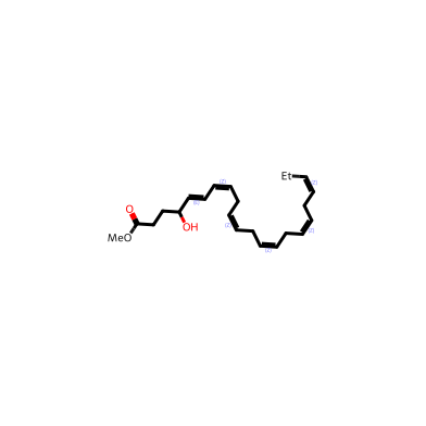 CC/C=C\C/C=C\C/C=C\C/C=C\C/C=C\C=C\C(O)CCC(=O)OC